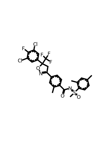 Cc1ccc(S(C)(=O)=NC(=O)c2ccc(C3=NOC(c4cc(Cl)c(F)c(Cl)c4)(C(F)(F)F)C3)cc2C)c(C)c1